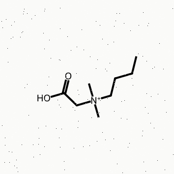 CCCC[N+](C)(C)CC(=O)O